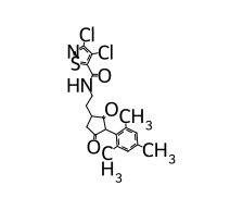 Cc1cc(C)c(C2C(=O)CC(CCNC(=O)c3snc(Cl)c3Cl)C2=O)c(C)c1